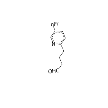 CCCc1ccc(CCCC=O)nc1